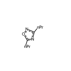 CCCc1noc(CCC)n1